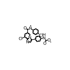 COC(=O)Nc1ccc(-c2cnc3c(Cl)cc(C(=O)N(C)c4ccc(Cl)cc4)cn23)cc1